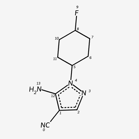 N#Cc1cnn(C2CCC(F)CC2)c1N